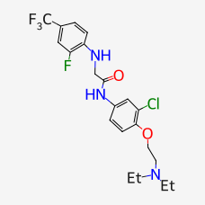 CCN(CC)CCOc1ccc(NC(=O)CNc2ccc(C(F)(F)F)cc2F)cc1Cl